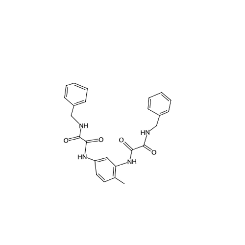 Cc1ccc(NC(=O)C(=O)NCc2ccccc2)cc1NC(=O)C(=O)NCc1ccccc1